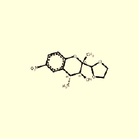 C[C@]1(C2OCCO2)Oc2ccc([N+](=O)[O-])cc2[C@@H](N)[C@@H]1O